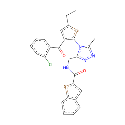 CCc1cc(C(=O)c2ccccc2Cl)c(-n2c(C)nnc2CNC(=O)c2cc3ccccc3s2)s1